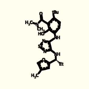 CC[C@@H](Nc1nsnc1Nc1ccc(C(C)(C)C)c(C(=O)N(C)C)c1O)c1cc(C)co1